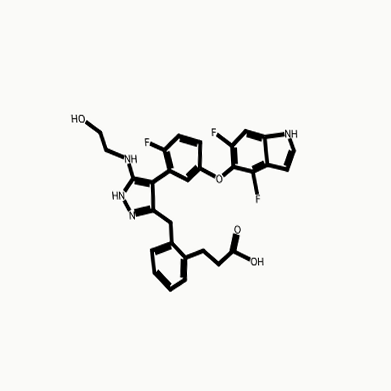 O=C(O)CCc1ccccc1Cc1n[nH]c(NCCO)c1-c1cc(Oc2c(F)cc3[nH]ccc3c2F)ccc1F